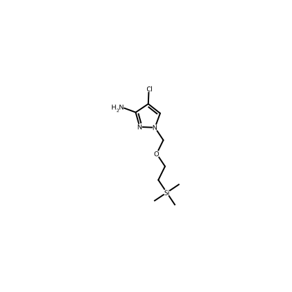 C[Si](C)(C)CCOCn1cc(Cl)c(N)n1